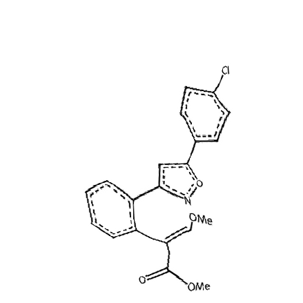 CO/C=C(/C(=O)OC)c1ccccc1-c1cc(-c2ccc(Cl)cc2)on1